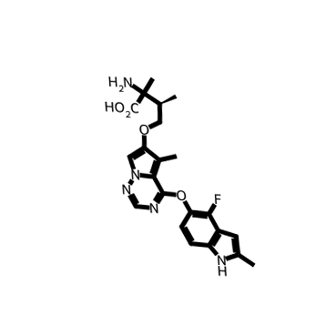 Cc1cc2c(F)c(Oc3ncnn4cc(OC[C@H](C)C(C)(N)C(=O)O)c(C)c34)ccc2[nH]1